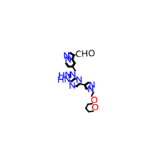 O=Cc1cnn2ccc(CN3NNc4ncc(-c5cnn(CCOC6CCCCO6)c5)nc43)cc12